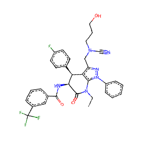 CCN1C(=O)[C@@H](NC(=O)c2cccc(C(F)(F)F)c2)[C@@H](c2ccc(F)cc2)c2c(CN(C#N)CCCO)nn(-c3ccccc3)c21